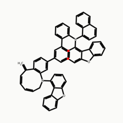 C=C1/C=C\C=C/CN(c2cccc3oc4ccccc4c23)c2cc(-c3cccc(-c4ccccc4N(c4cccc5ccccc45)c4cccc5oc6ccccc6c45)c3)ccc21